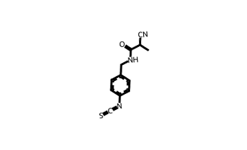 CC(C#N)C(=O)NCc1ccc(N=C=S)cc1